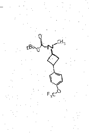 CN(C(=O)OC(C)(C)C)C1CC(c2ccc(OC(F)(F)F)cc2)C1